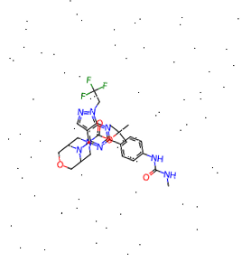 CNC(=O)Nc1ccc(-c2nc(N3C4COCC3CN(C(=O)OC(C)(C)C)C4)c3cnn(CC(F)(F)F)c3n2)cc1